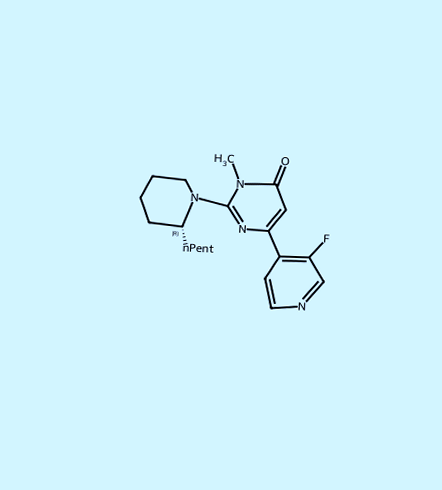 CCCCC[C@@H]1CCCCN1c1nc(-c2ccncc2F)cc(=O)n1C